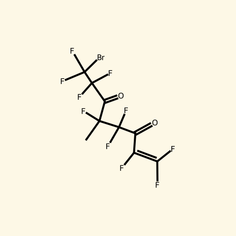 CC(F)(C(=O)C(F)(F)C(F)(F)Br)C(F)(F)C(=O)C(F)=C(F)F